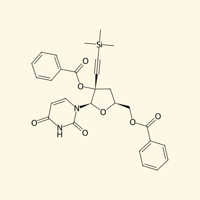 C[Si](C)(C)C#C[C@@]1(OC(=O)c2ccccc2)C[C@@H](COC(=O)c2ccccc2)O[C@H]1n1ccc(=O)[nH]c1=O